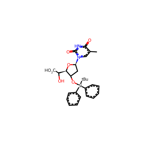 Cc1cn([C@H]2CC(O[Si](c3ccccc3)(c3ccccc3)C(C)(C)C)[C@@H](C(O)C(=O)O)O2)c(=O)[nH]c1=O